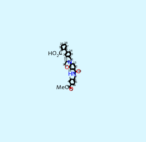 COC(=O)c1ccc(CNC(=O)c2ccc3c(c2)OCCN3Cc2ccc(-c3ccccc3C(=O)O)cc2)cc1